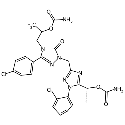 C[C@@H](OC(N)=O)c1nc(Cn2nc(-c3ccc(Cl)cc3)n(CC(OC(N)=O)C(F)(F)F)c2=O)nn1-c1ccccc1Cl